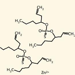 C=CCC(CCCC)OP([O-])(=S)OC(CC=C)CCCC.C=CCC(CCCC)OP([O-])(=S)OC(CC=C)CCCC.[Zn+2]